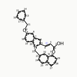 O=C(O)/C=C/c1cc2cc(OCc3ccccc3)ccc2n1Cc1ccc2ccccc2c1